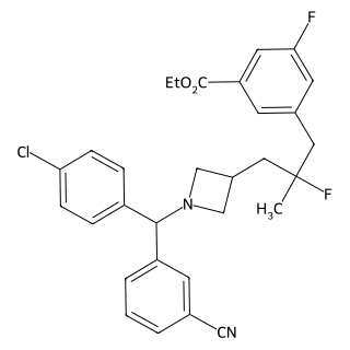 CCOC(=O)c1cc(F)cc(CC(C)(F)CC2CN(C(c3ccc(Cl)cc3)c3cccc(C#N)c3)C2)c1